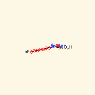 CCCOCCOCCOCCOCCOCCOCCOCCn1cc(CNC(=O)CC2SCC(C(=O)O)NC2=O)nn1